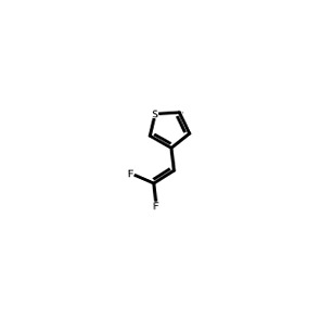 FC(F)=Cc1c[c]sc1